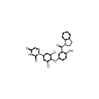 O=C(c1cc(Oc2c(Cl)cc(-n3ncc(=O)[nH]c3=O)cc2Cl)ccc1O)N1CCc2ccccc21